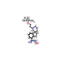 CC(C)(C)[Si](C)(C)OCCN1CCCC2(CCc3c(C(=N)NO)cccc32)C1